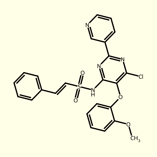 COc1ccccc1Oc1c(Cl)nc(-c2cccnc2)nc1NS(=O)(=O)/C=C/c1ccccc1